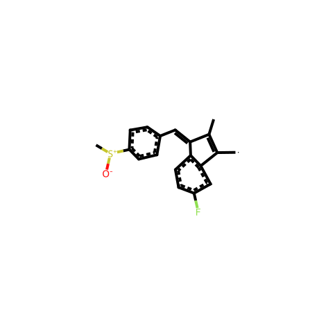 [CH2]C1=C(C)/C(=C/c2ccc([S+](C)[O-])cc2)c2ccc(F)cc21